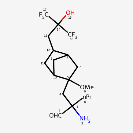 CCCC(N)(C=O)CC1(OC)CC2CC1CC2CC(O)(C(F)(F)F)C(F)(F)F